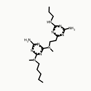 CCCCCN(C)c1nc(N)nc(N(C)CCc2nc(N)nc(NCCC)n2)n1